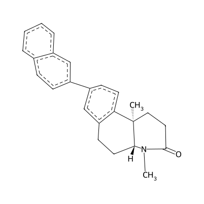 CN1C(=O)CC[C@]2(C)c3ccc(-c4ccc5ccccc5c4)cc3CC[C@@H]12